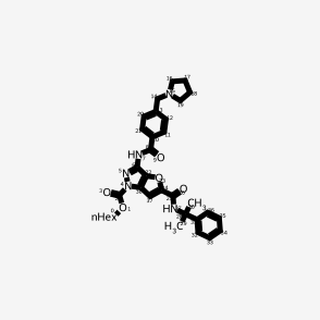 CCCCCCOC(=O)n1nc(NC(=O)c2ccc(CN3CCCC3)cc2)c2oc(C(=O)NC(C)(C)c3ccccc3)cc21